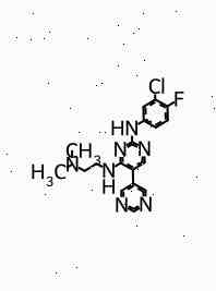 CN(C)CCNc1nc(Nc2ccc(F)c(Cl)c2)ncc1-c1cncnc1